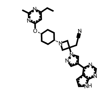 CCc1cc(O[C@H]2CC[C@@H](N3CC(CC#N)(n4cc(-c5ncnc6[nH]ccc56)cn4)C3)CC2)nc(C)n1